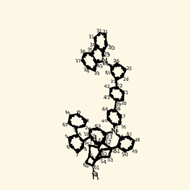 c1ccc(-c2ccccc2-c2ccc(N(c3ccc(-c4ccc(-c5cccc(-n6c7ccccc7c7ccccc76)c5)cc4)cc3)c3ccccc3C34CC5C6C(C[C@H]5C3)C[C@H]6C4)cc2)cc1